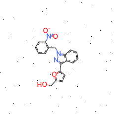 O=[N+]([O-])c1ccccc1Cn1nc(-c2ccc(CO)o2)c2ccccc21